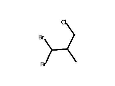 CC(CCl)C(Br)Br